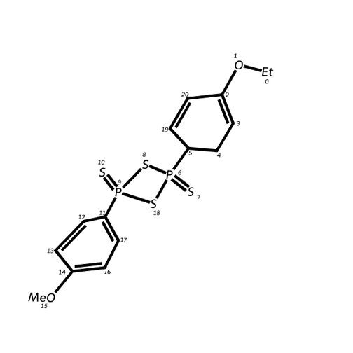 CCOC1=CCC(P2(=S)SP(=S)(c3ccc(OC)cc3)S2)C=C1